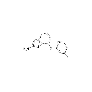 Nc1nc2c(Oc3cc(I)ncn3)cccc2s1